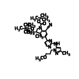 COCCCn1nc(C)cc1Nc1nccc(-c2cc(C#N)c3c(c2)[C@@](C)(CO[Si](C)(C)C(C)(C)C)CN3C(=O)OC(C)(C)C)n1